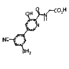 Bc1cc(C#N)cc(-c2cnc(C(=O)NCC(=O)O)c(O)c2)c1